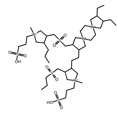 CCCC1C[N+](C)(CCCS(=O)(=O)O)CC1CS(=O)(=O)CC1C[N+]2(CC[N+]3(CC2)CC(CC)C(CC)C3)CC1CCC1C[N+](C)(CCCS(=O)(=O)O)CC1CS(=O)(=O)CCC